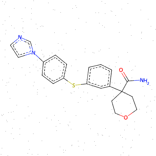 NC(=O)C1(c2cccc(Sc3ccc(-n4ccnc4)cc3)c2)CCOCC1